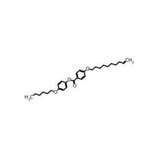 C=CCCCCCCCCOc1ccc(C(=O)Oc2ccc(OCCCCCC)cc2)cc1